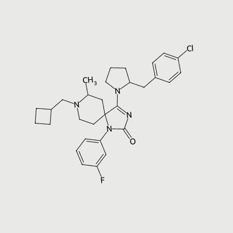 CC1CC2(CCN1CC1CCC1)C(N1CCCC1Cc1ccc(Cl)cc1)=NC(=O)N2c1cccc(F)c1